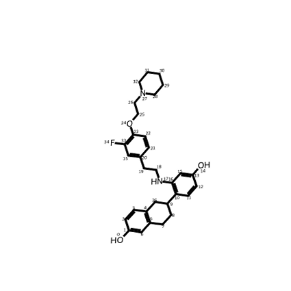 Oc1ccc2c(c1)CCC(c1ccc(O)cc1NCCc1ccc(OCCN3CCCCC3)c(F)c1)C2